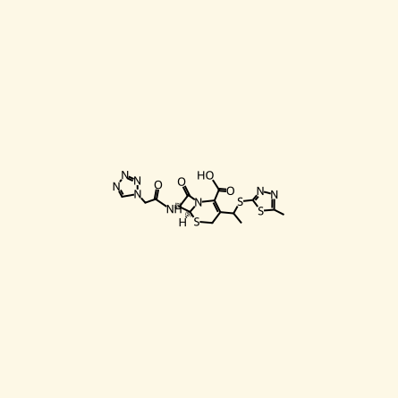 Cc1nnc(SC(C)C2=C(C(=O)O)N3C(=O)[C@@H](NC(=O)Cn4cnnn4)[C@@H]3SC2)s1